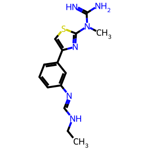 CCNC=Nc1cccc(-c2csc(N(C)C(=N)N)n2)c1